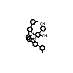 Cc1cccc(-c2ccc3c4ccccc4n(-c4cc(C#N)c(-c5cccc(C#N)c5)cc4-n4c5ccccc5c5ccc(-c6cccc(C)c6)cc54)c3c2)c1